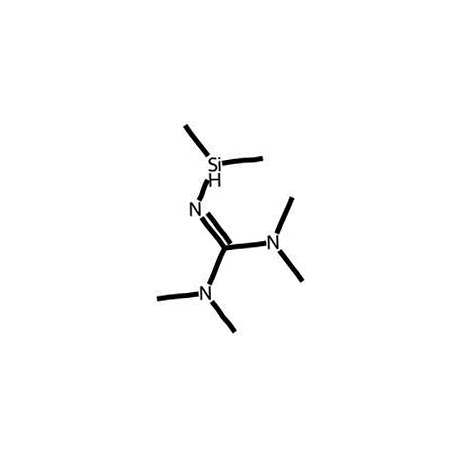 CN(C)C(=N[SiH](C)C)N(C)C